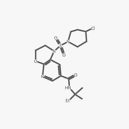 CCC(C)(C)NC(=O)c1cnc2c(c1)N(S(=O)(=O)N1CCC(Cl)CC1)CCO2